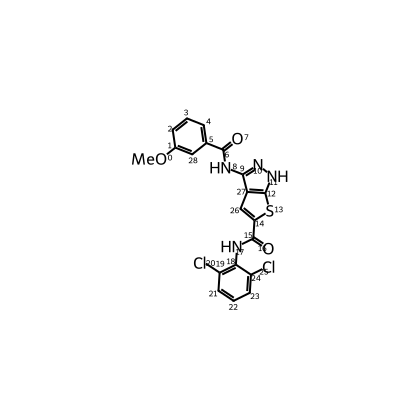 COc1cccc(C(=O)Nc2n[nH]c3sc(C(=O)Nc4c(Cl)cccc4Cl)cc23)c1